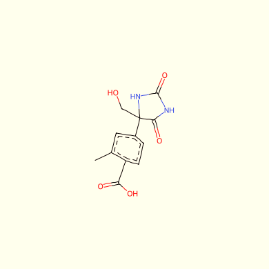 Cc1cc(C2(CO)NC(=O)NC2=O)ccc1C(=O)O